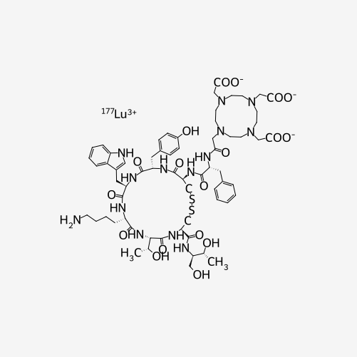 C[C@@H](O)[C@@H]1NC(=O)[C@H](CCCCN)NC(=O)[C@@H](Cc2c[nH]c3ccccc23)NC(=O)[C@H](Cc2ccc(O)cc2)NC(=O)[C@@H](NC(=O)[C@@H](Cc2ccccc2)NC(=O)CN2CCN(CC(=O)[O-])CCN(CC(=O)[O-])CCN(CC(=O)[O-])CC2)CSSC[C@@H](C(=O)N[C@H](CO)[C@@H](C)O)NC1=O.[177Lu+3]